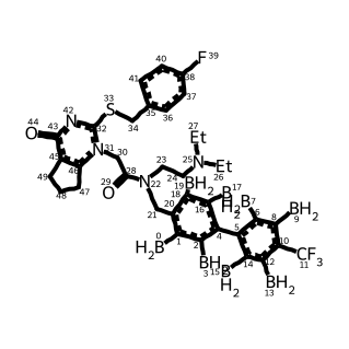 Bc1c(B)c(-c2c(B)c(B)c(C(F)(F)F)c(B)c2B)c(B)c(B)c1CN(CCN(CC)CC)C(=O)Cn1c(SCc2ccc(F)cc2)nc(=O)c2c1CCC2